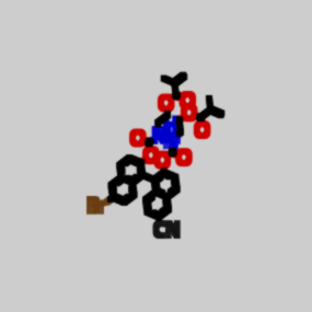 C=C(C)C(=O)OCCNC(=O)Oc1ccc2cc(Br)ccc2c1-c1c(OC(=O)NCCOC(=O)C(=C)C)ccc2cc(C#N)ccc12